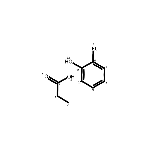 CCC(=O)O.CCc1ccccc1O